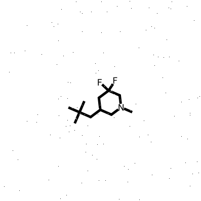 CN1CC(CC(C)(C)C)CC(F)(F)C1